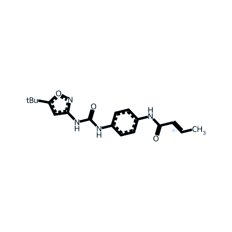 C/C=C/C(=O)Nc1ccc(NC(=O)Nc2cc(C(C)(C)C)on2)cc1